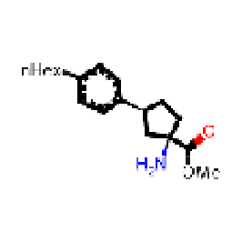 CCCCCCc1ccc([C@H]2CC[C@](N)(C(=O)OC)C2)cc1